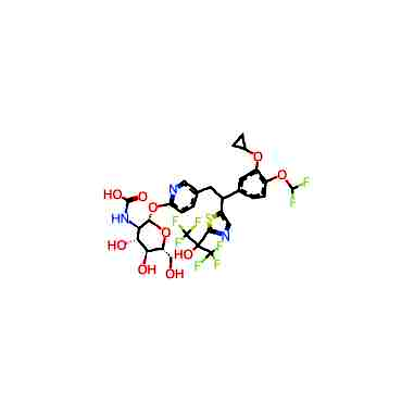 O=C(O)N[C@H]1[C@H](Oc2ccc(CC(c3ccc(OC(F)F)c(OC4CC4)c3)c3cnc(C(O)(C(F)(F)F)C(F)(F)F)s3)cn2)O[C@H](CO)[C@@H](O)[C@@H]1O